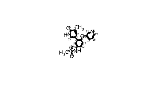 Cc1cc(-c2cc(NS(C)(=O)=O)ccc2Oc2cccnc2)c[nH]c1=O